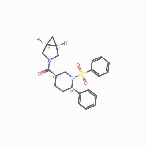 O=C([C@@H]1CC[C@H](c2ccccc2)N(S(=O)(=O)c2ccccc2)C1)N1C[C@H]2C[C@H]2C1